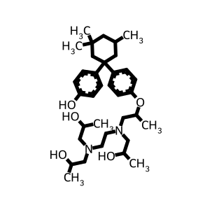 CC(O)CN(CCN(CC(C)O)CC(C)Oc1ccc(C2(c3ccc(O)cc3)CC(C)CC(C)(C)C2)cc1)CC(C)O